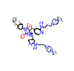 CCN1CCN(CCCNc2cc(C(C)C3(C(C)c4ccnc(NCCCN5CCN(CC)CC5)c4)NC(=O)N(c4ccc(SC(F)(F)F)cc4)C3=O)ccn2)CC1